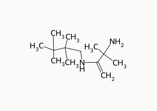 C=C(NCC(C)(C)C(C)(C)C)C(C)(C)N